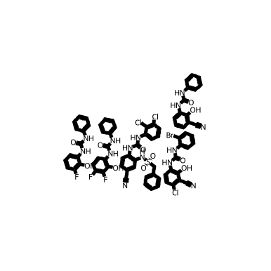 N#Cc1c(Cl)ccc(NC(=O)Nc2ccccc2Br)c1O.N#Cc1ccc(NC(=O)Nc2cccc(Cl)c2Cl)c(NS(=O)(=O)Cc2ccccc2)c1.N#Cc1cccc(NC(=O)Nc2ccccc2)c1O.O=C(Nc1ccccc1)Nc1ccc(F)c(F)c1O.O=C(Nc1ccccc1)Nc1cccc(F)c1O